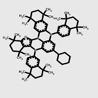 CC1(C)CCC(C)(C)c2cc(N3c4cc5c(cc4B4c6oc7c(c6N(c6ccc8c(c6)C(C)(C)CCC8(C)C)c6cc(C8CCCCC8)cc3c64)C(C)(C)CCC7(C)C)C(C)(C)CCC5(C)C)ccc21